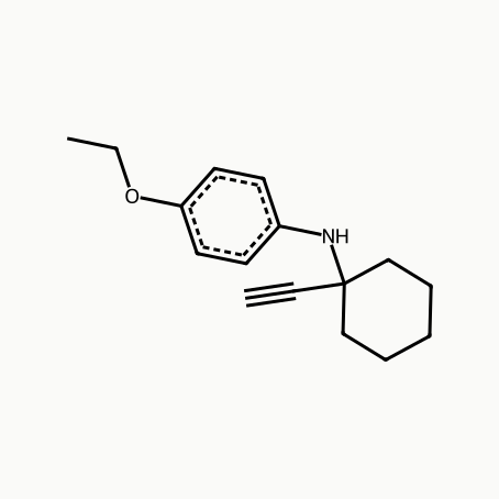 C#CC1(Nc2ccc(OCC)cc2)CCCCC1